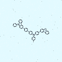 Cc1ccc(N(c2ccc(-c3ccc(-c4ccc5c(c4)c4ccccc4n5-c4ccccc4)cc3)cc2)c2ccc(-c3ccc4oc5ccccc5c4c3)cc2)cc1